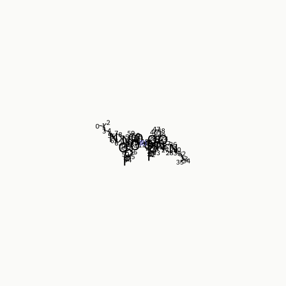 CC(C)=CCCN1CCC(NC(=O)C(OC(=O)/C=C/C(=O)OC(C(=O)NC2CCN(CCC=C(C)C)CC2)(c2ccc(F)cc2)C2CCCC2)(c2ccc(F)cc2)C2CCCC2)CC1